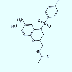 CC(=O)NCC1CN(S(=O)(=O)c2ccc(F)cc2)c2cc(N)ccc2O1.Cl